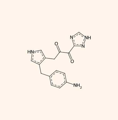 Nc1ccc(Cc2c[nH]cc2CC(=O)C(=O)c2nc[nH]n2)cc1